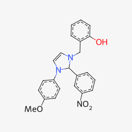 COc1ccc(N2C=CN(Cc3ccccc3O)C2c2cccc([N+](=O)[O-])c2)cc1